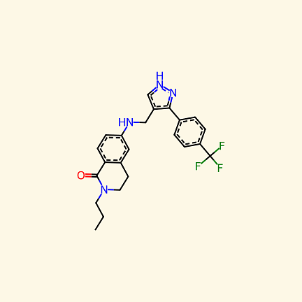 CCCN1CCc2cc(NCc3c[nH]nc3-c3ccc(C(F)(F)F)cc3)ccc2C1=O